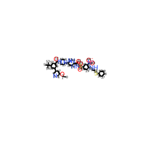 CCOc1cncc(-c2cc(C(=O)N3CCN(c4ccc(C(=O)NS(=O)(=O)c5ccc(NCCSc6ccccc6)c([N+](=O)[O-])c5)nn4)CC3)cc(C(C)(C)C)c2)c1